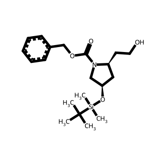 CC(C)(C)[Si](C)(C)O[C@@H]1C[C@H](CCO)N(C(=O)OCc2ccccc2)C1